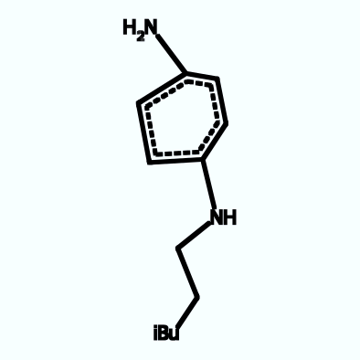 CCC(C)CCNc1ccc(N)cc1